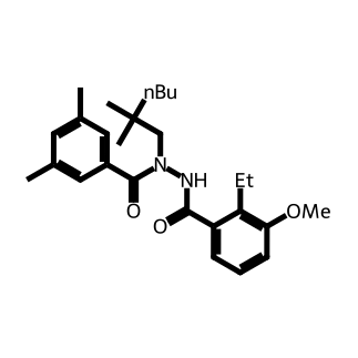 CCCCC(C)(C)CN(NC(=O)c1cccc(OC)c1CC)C(=O)c1cc(C)cc(C)c1